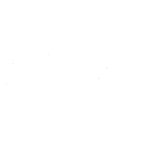 Cc1cc(C(C)(C)CCc2ccc(CO)c(CO)c2)ccc1OCC(O)C(C)C